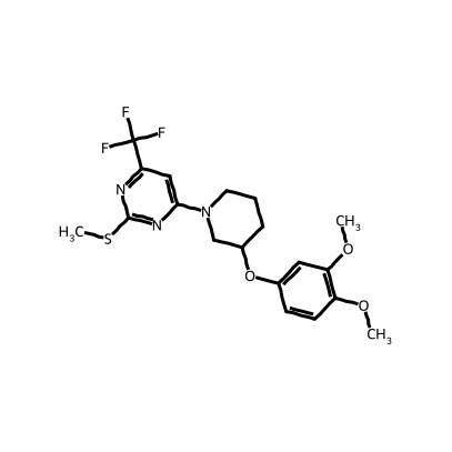 COc1ccc(OC2CCCN(c3cc(C(F)(F)F)nc(SC)n3)C2)cc1OC